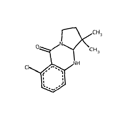 CC1(C)CCN2C(=O)c3c(Cl)cccc3NC21